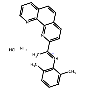 C/[C](=[Fe]\[c]1c(C)cccc1C)c1ccc2ccc3cccnc3c2n1.Cl.N